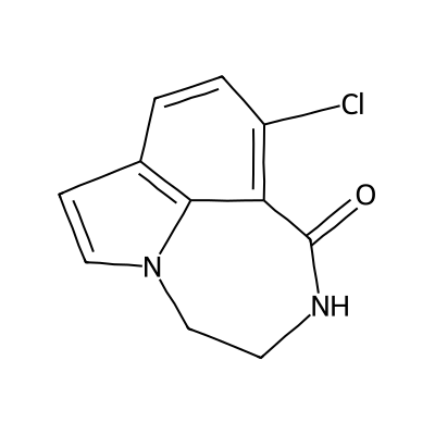 O=C1NCCn2ccc3ccc(Cl)c1c32